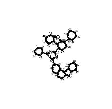 c1ccc(-c2nc(-c3ccc4ccc5oc6ccccc6c5c4c3)nc(-c3ccc(-c4ccccc4)c4oc5ccccc5c34)n2)cc1